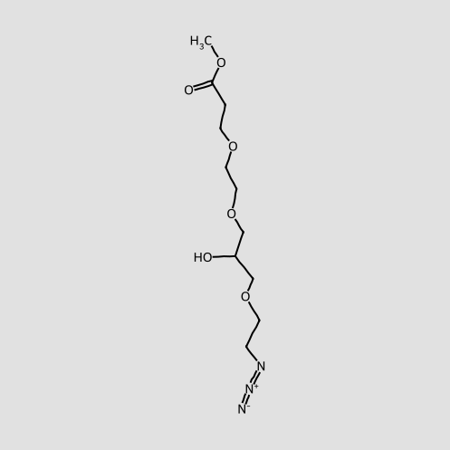 COC(=O)CCOCCOCC(O)COCCN=[N+]=[N-]